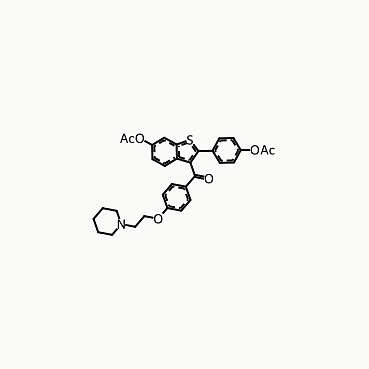 CC(=O)Oc1ccc(-c2sc3cc(OC(C)=O)ccc3c2C(=O)c2ccc(OCCN3CCCCC3)cc2)cc1